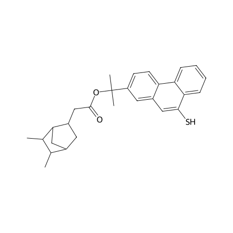 CC1C2CC(CC(=O)OC(C)(C)c3ccc4c(c3)cc(S)c3ccccc34)C(C2)C1C